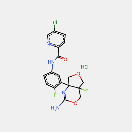 Cl.NC1=NC2(c3cc(NC(=O)c4ccc(Cl)cn4)ccc3F)COCC2(F)CO1